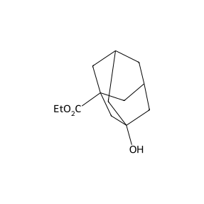 CCOC(=O)C12CC3CC(CC(O)(C3)C1)C2